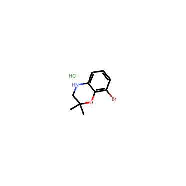 CC1(C)CNc2cccc(Br)c2O1.Cl